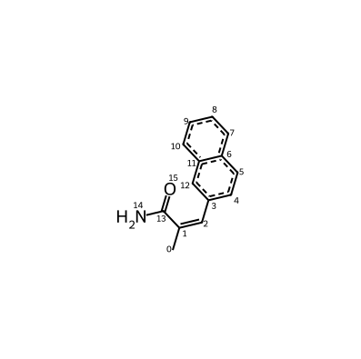 CC(=Cc1ccc2ccccc2c1)C(N)=O